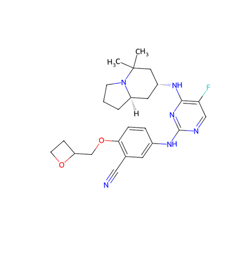 CC1(C)C[C@H](Nc2nc(Nc3ccc(OCC4CCO4)c(C#N)c3)ncc2F)C[C@H]2CCCN21